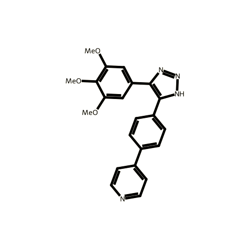 COc1cc(-c2nn[nH]c2-c2ccc(-c3ccncc3)cc2)cc(OC)c1OC